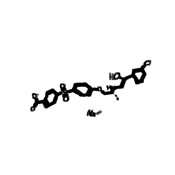 C[C@H](COc1ccc(S(=O)(=O)c2ccc(C(=O)[O-])cc2)cc1)NC[C@H](O)c1cccc(Cl)c1.[Na+]